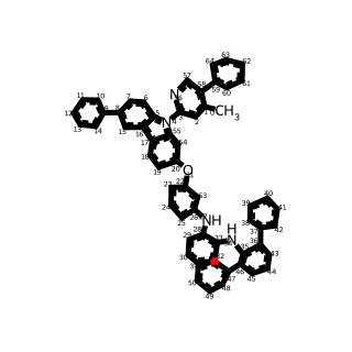 Cc1cc(-n2c3ccc(-c4ccccc4)cc3c3ccc(Oc4cccc(Nc5ccccc5Nc5c(-c6ccccc6)cccc5-c5ccccc5)c4)cc32)ncc1-c1ccccc1